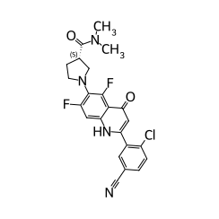 CN(C)C(=O)[C@H]1CCN(c2c(F)cc3[nH]c(-c4cc(C#N)ccc4Cl)cc(=O)c3c2F)C1